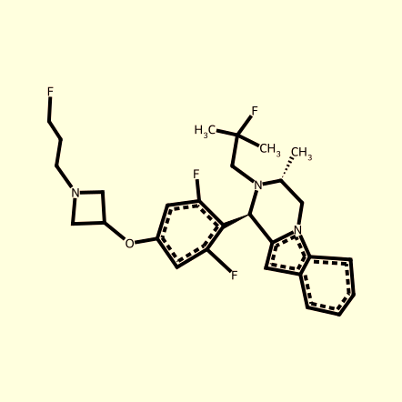 C[C@@H]1Cn2c(cc3ccccc32)[C@@H](c2c(F)cc(OC3CN(CCCF)C3)cc2F)N1CC(C)(C)F